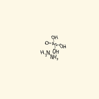 N.N.O=[As](O)(O)O